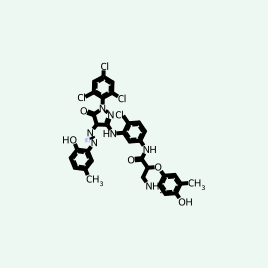 Cc1ccc(O)c(/N=N/C2C(=O)N(c3c(Cl)cc(Cl)cc3Cl)N=C2Nc2cc(NC(=O)C(CN)Oc3ccc(O)c(C)c3)ccc2Cl)c1